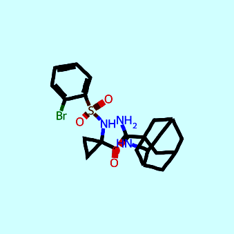 NC(=O)C12CC3CC(C1)C(NC(=O)C1(NS(=O)(=O)c4ccccc4Br)CC1)C(C3)C2